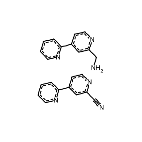 N#Cc1cc(-c2ccccn2)ccn1.NCc1cc(-c2ccccn2)ccn1